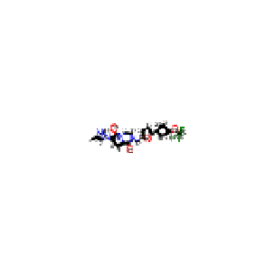 Cc1cn(-c2ccc3n(c2=O)CCN(C[C@@H]2CC[C@H](c4ccc(OC(F)(F)F)cc4)O2)C3=O)cn1